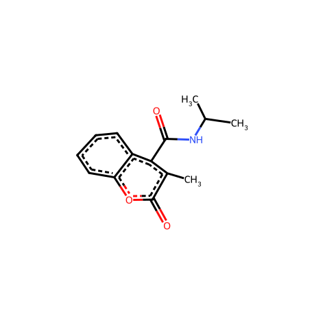 Cc1c(C(=O)NC(C)C)c2ccccc2oc1=O